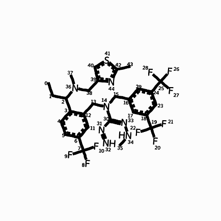 CCC(c1ccc(C(F)(F)F)cc1CN(Cc1cc(C(F)(F)F)cc(C(F)(F)F)c1)/C(N=N)=N/NC)N(C)Cc1csc(C)n1